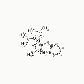 CC(C)O[Si](OC(C)C)(OC(C)C)c1ccc2ccccc2c1